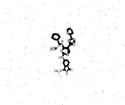 CC1NC(=O)c2ccc(Nc3ncc(-c4nc(-c5ccccn5)no4)c(N[C@H](CO)c4ccccc4)n3)cc21